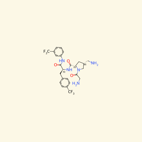 NCC(=O)N1C[C@@H](CN)C[C@H]1C(=O)N[C@@H](Cc1ccc(C(F)(F)F)cc1)C(=O)Nc1cccc(C(F)(F)F)c1